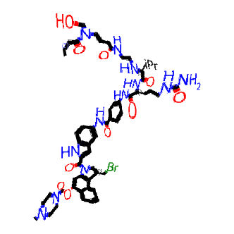 C/C=C\C(=O)N(CO)CCCC(=O)NCCN[C@H](C(=O)N[C@@H](CCCNC(N)=O)C(=O)Nc1ccc(C(=O)Nc2ccc3[nH]c(C(=O)N4C[C@@H](CBr)c5c4cc(OC(=O)N4CCN(C)CC4)c4ccccc54)cc3c2)cc1)C(C)C